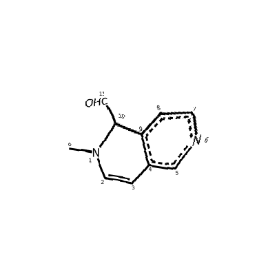 CN1C=Cc2cnccc2C1C=O